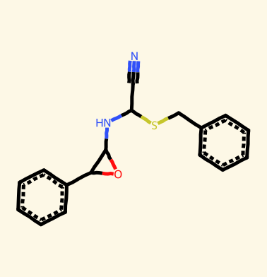 N#CC(NC1OC1c1ccccc1)SCc1ccccc1